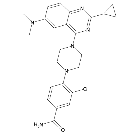 CN(C)c1ccc2nc(C3CC3)nc(N3CCN(c4ccc(C(N)=O)cc4Cl)CC3)c2c1